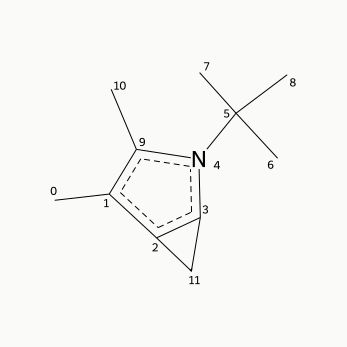 Cc1c2c(n(C(C)(C)C)c1C)C2